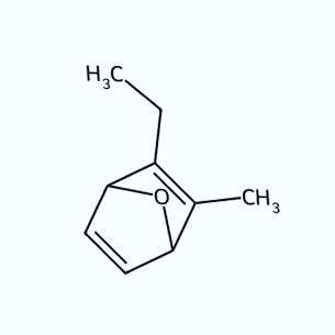 CCC1=C(C)C2C=CC1O2